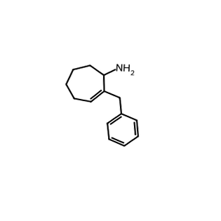 NC1CCCCC=C1Cc1ccccc1